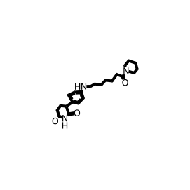 O=C1CCC(c2ccc(NCCCCCCC(=O)N3CCCCC3)cc2)C(=O)N1